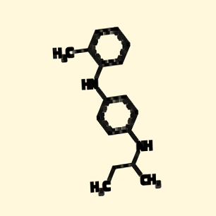 CCC(C)Nc1ccc(Nc2ccccc2C)cc1